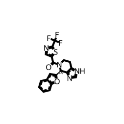 O=C(c1cnc(C(F)(F)F)s1)N1CCc2[nH]cnc2[C@H]1c1cc2ccccc2o1